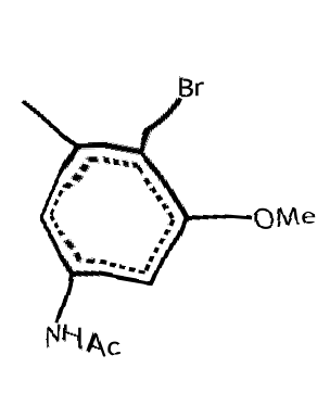 COc1cc(NC(C)=O)cc(C)c1Br